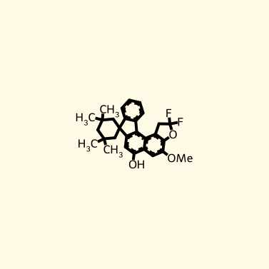 COc1cc2c(O)cc3c(c2c2c1OC(F)(F)C2)-c1ccccc1C31CC(C)(C)CC(C)(C)C1